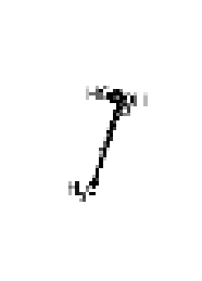 CCCCCCCCCCCCCCCCCC(=O)c1cc(O)ccc1O